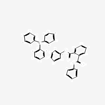 O=C(Oc1ccccc1)c1ccccc1C(=O)Oc1ccccc1.c1ccc(P(c2ccccc2)c2ccccc2)cc1